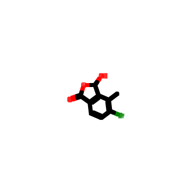 Cc1c(Br)ccc2c1C(O)OC2=O